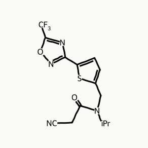 CC(C)N(Cc1ccc(-c2noc(C(F)(F)F)n2)s1)C(=O)CC#N